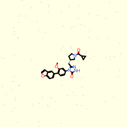 COc1cc(-n2c(C[C@@H]3CCN(C(=O)C4CC4)C3)n[nH]c2=O)ccc1-c1ccc2occc2c1